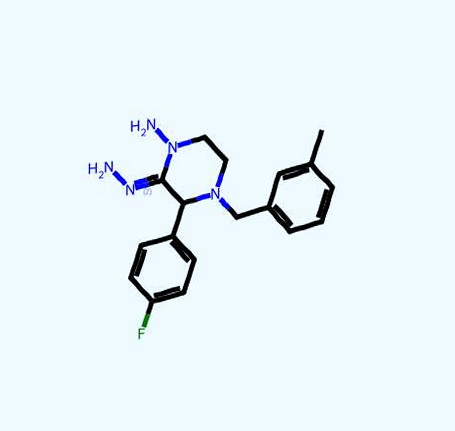 Cc1cccc(CN2CCN(N)/C(=N\N)C2c2ccc(F)cc2)c1